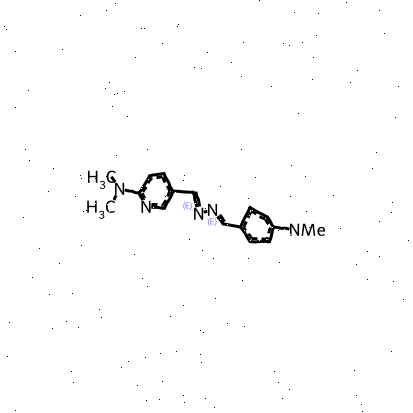 CNc1ccc(/C=N/N=C/c2ccc(N(C)C)nc2)cc1